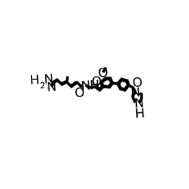 C=N\C(N)=C/C=C(C)/C=C/C(=O)NCc1cc2cc(-c3ccc(C(=O)N4CCNCC4)cc3)cc(OC)c2o1